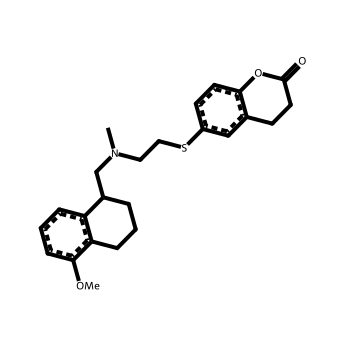 COc1cccc2c1CCCC2CN(C)CCSc1ccc2c(c1)CCC(=O)O2